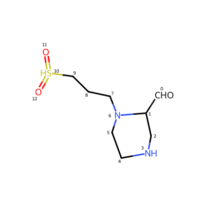 O=CC1CNCCN1CCC[SH](=O)=O